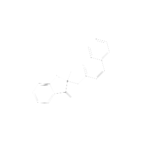 CC1(Cc2ccc3ccccc3n2)Nc2ccccc2C1=O